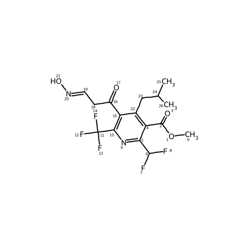 COC(=O)c1c(C(F)F)nc(C(F)(F)F)c(C(=O)C/C=N/O)c1CC(C)C